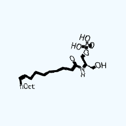 CCCCCCCC/C=C\CCCCCCCC(=O)N[C@H](CO)COP(=O)(O)O